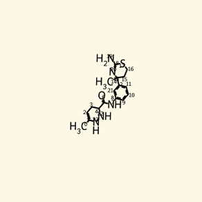 CC1=CCC(C(=O)Nc2cccc(C3(C)CCSC(N)=N3)c2)NN1